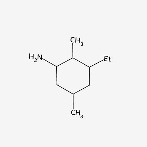 CCC1CC(C)CC(N)C1C